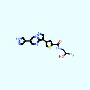 O=C(NCC(O)C(F)(F)F)c1cc(-c2cnn3cc(-c4cn[nH]c4)cnc23)cs1